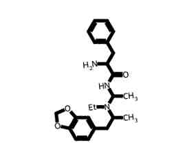 CCN(C(C)Cc1ccc2c(c1)OCO2)C(C)NC(=O)C(N)Cc1ccccc1